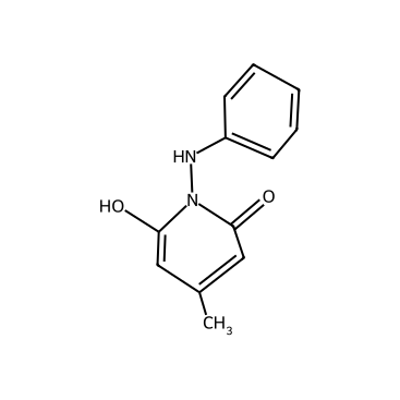 Cc1cc(O)n(Nc2ccccc2)c(=O)c1